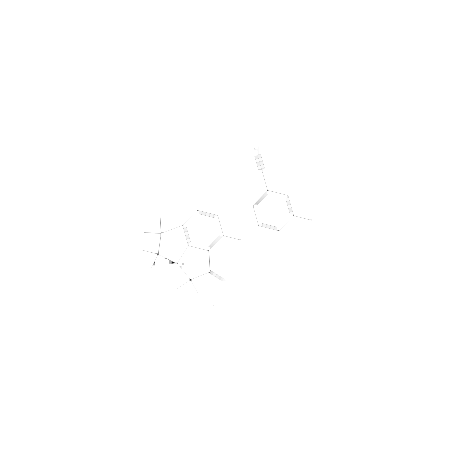 BC1(B)C(=O)c2c(Oc3cc(F)cc(C#N)c3)ccc3c2[C@@]1(O)C(F)(F)C3(F)F